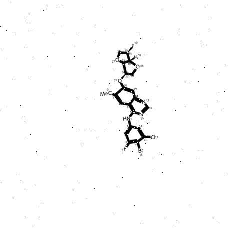 COc1cc2c(Nc3cc(F)c(Br)c(Cl)c3)ncnc2cc1O[C@@H]1CO[C@@H]2C1OC[C@H]2F